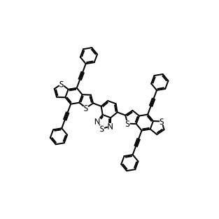 C(#Cc1c2cc(-c3ccc(-c4cc5c(C#Cc6ccccc6)c6sccc6c(C#Cc6ccccc6)c5s4)c4nsnc34)sc2c(C#Cc2ccccc2)c2ccsc12)c1ccccc1